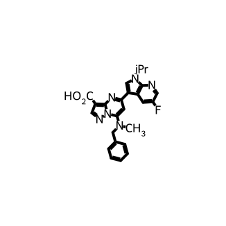 CC(C)n1cc(-c2cc(N(C)Cc3ccccc3)n3ncc(C(=O)O)c3n2)c2cc(F)cnc21